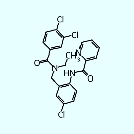 CCN(Cc1cc(Cl)ccc1NC(=O)c1ccccn1)C(=O)c1ccc(Cl)c(Cl)c1